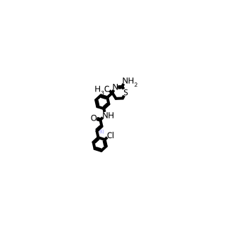 CC1(c2cccc(NC(=O)/C=C/c3ccccc3Cl)c2)CCSC(N)=N1